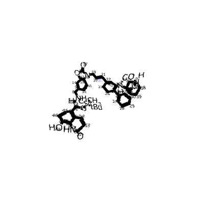 CC(C)(C)[Si](C)(C)O[C@@H](CNCc1ccc2c(c1)oc(=O)n2C/C=C/c1ccc(-c2ccccc2)c(N(C(=O)O)[C@H]2CN3CCC2CC3)c1)c1ccc(O)c2[nH]c(=O)ccc12